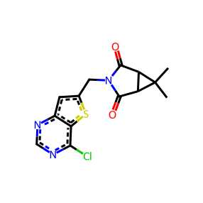 CC1(C)C2C(=O)N(Cc3cc4ncnc(Cl)c4s3)C(=O)C21